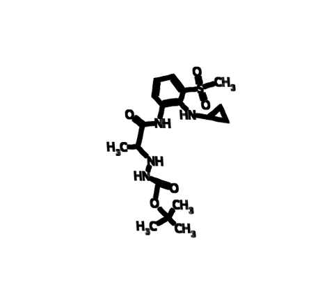 CC(NNC(=O)OC(C)(C)C)C(=O)Nc1cccc(S(C)(=O)=O)c1NC1CC1